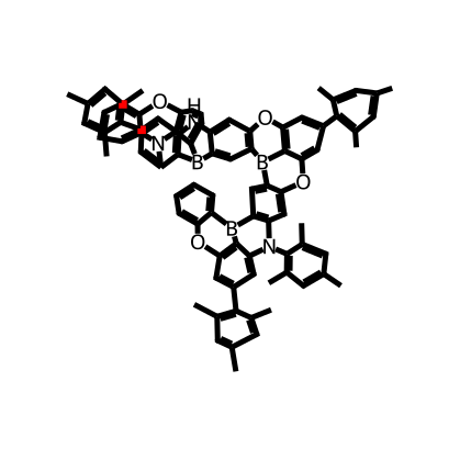 Cc1cc(C)c(-c2cc3c4c(c2)Oc2cc5c(cc2B4c2cc4c(cc2O3)Nc2cc(-c3c(C)cc(C)cc3C)cc3c2B4c2cccc4c2N3c2ccccc2O4)B2c3ccccc3Oc3cc(-c4c(C)cc(C)cc4C)cc(c32)N5c2c(C)cc(C)cc2C)c(C)c1